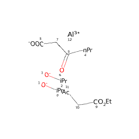 CC(C)[O-].CC(C)[O-].CCCC(=O)CC(=O)[O-].CCOC(=O)CC(C)=O.[Al+3]